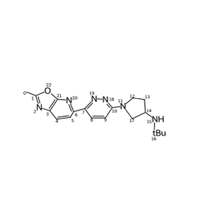 Cc1nc2ccc(-c3ccc(N4CCC(NC(C)(C)C)C4)nn3)nc2o1